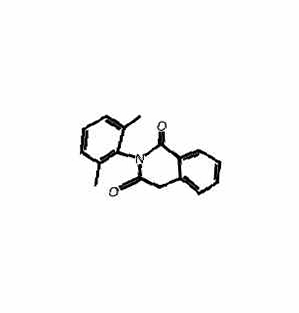 Cc1cccc(C)c1N1C(=O)Cc2ccccc2C1=O